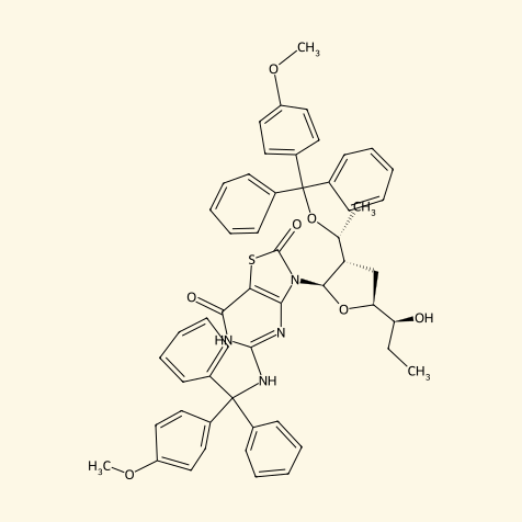 CC[C@H](O)[C@@H]1C[C@@H]([C@@H](C)OC(c2ccccc2)(c2ccccc2)c2ccc(OC)cc2)[C@H](n2c(=O)sc3c(=O)[nH]c(NC(c4ccccc4)(c4ccccc4)c4ccc(OC)cc4)nc32)O1